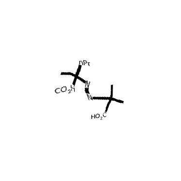 CCCC(C)(/N=N/C(C)(C)C(=O)O)C(=O)O